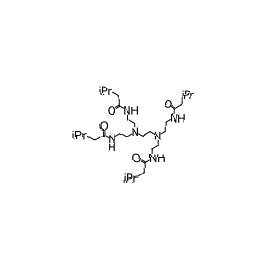 CC(C)CC(=O)NCCN(CCNC(=O)CC(C)C)CCN(CCNC(=O)CC(C)C)CCNC(=O)CC(C)C